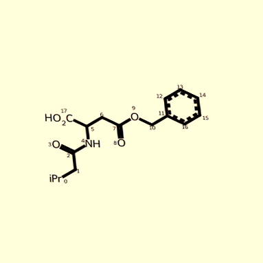 CC(C)CC(=O)NC(CC(=O)OCc1ccccc1)C(=O)O